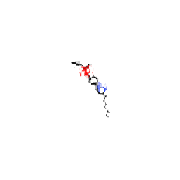 CCCCCCCc1ccc(-c2ccc(C(=O)OC(C)C(=O)CCCC)cc2)nc1